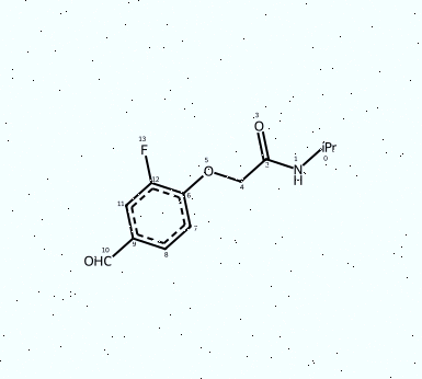 CC(C)NC(=O)COc1ccc(C=O)cc1F